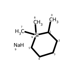 CC1CCCC[Si]1(C)C.[NaH]